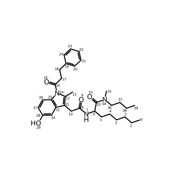 CCCCCCC(NC(=O)Cc1c(C)n(C(=O)CCc2ccccc2)c2ccc(O)cc12)C(=O)N(C)CCCC